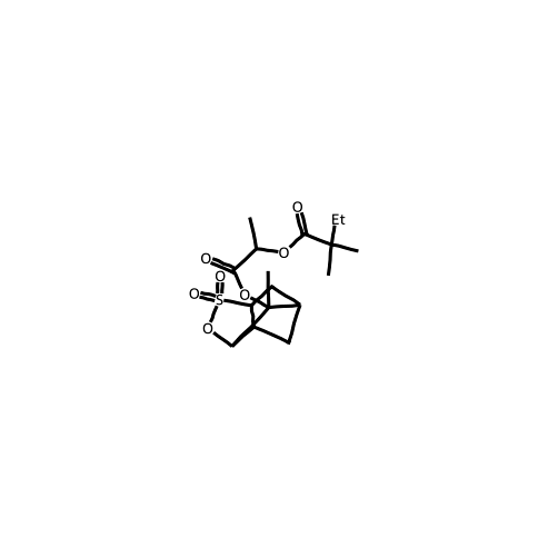 CCC(C)(C)C(=O)OC(C)C(=O)OC1(C)C2CC3C1OS(=O)(=O)C3C2